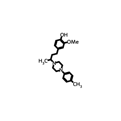 COc1cc(CCC(C)N2CCN(c3ccc(C)cc3)CC2)ccc1O